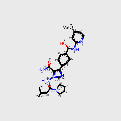 COc1ccnc(NC(O)c2ccc(-c3nc([C@@H]4CCCN4C(=O)C=C(C)C)n(N)c3C(N)=O)cc2)c1